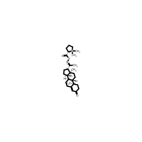 C/C(=N\OC(=O)[C@@H]1CCC[N+]1(C)C)[C@H]1CC[C@H]2[C@@H]3CCC4=CC(=O)CC[C@]4(C)[C@H]3CC[C@]12C